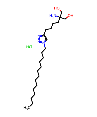 CCCCCCCCCCCCCCn1cc(CCCCC(N)(CO)CO)nn1.Cl